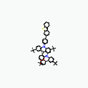 CC(C)(C)c1ccc2c(c1)B1c3ccc(C(C)(C)C)cc3N(c3ccc(C(C)(C)C)cc3-c3ccccc3)c3cc(C(C)(C)C)cc(c31)N2c1ccc(-c2ccc3c(c2)sc2ccccc23)cc1